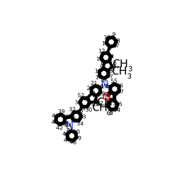 CC1(C)c2cc(-c3ccccc3)ccc2-c2ccc(N(c3ccc4c(c3)C(C)(C)c3cc(-c5ccc6c(c5)c5ccccc5n6-c5ccccc5)ccc3-4)c3cccc4c3oc3ccccc34)cc21